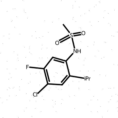 CC(C)c1cc(Cl)c(F)cc1NS(C)(=O)=O